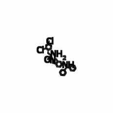 NC(Cc1ccc(Cl)cc1Cl)C(=O)N1Cc2ccc(NC(c3ccccc3)c3ccccc3)cc2C1